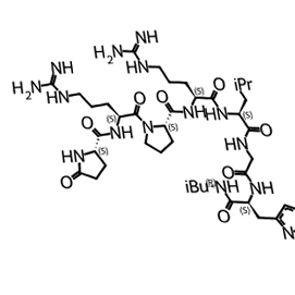 CC[C@@H](C)NC(=O)[C@H](Cc1c[nH]cn1)NC(=O)CNC(=O)[C@H](CC(C)C)NC(=O)[C@H](CCCNC(=N)N)NC(=O)[C@@H]1CCCN1C(=O)[C@H](CCCNC(=N)N)NC(=O)[C@@H]1CCC(=O)N1